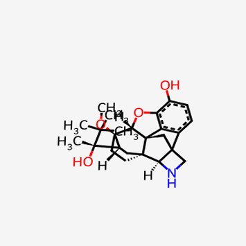 CO[C@]12CC[C@@]3(C[C@@H]1[C@](C)(O)C(C)(C)C)[C@@H]1NCC14C[C@@]31c3c4ccc(O)c3O[C@@H]21